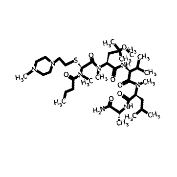 CCCC(=O)N(C)[C@H](SCCN1CCN(C)CC1)C(=O)N(C)[C@@H](CC(C)(C)OC)C(=O)N[C@H](C(=O)N(C)[C@@H](CC(C)C)C(=O)N[C@H](C)C(N)=O)C(C)C